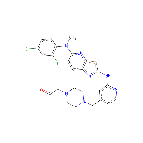 CN(c1ccc2nc(Nc3cc(CN4CCN(CC=O)CC4)ccn3)sc2n1)c1ccc(Cl)cc1F